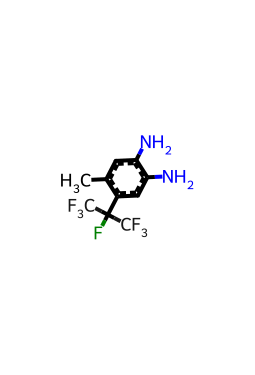 Cc1cc(N)c(N)cc1C(F)(C(F)(F)F)C(F)(F)F